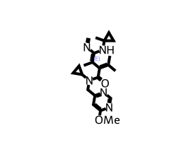 C=N/C(NC1(C)CC1)=C(\C)C(C(=O)N(Cc1cc(OC)ncn1)C1CC1)=C(C)C